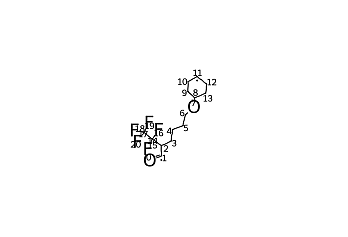 O=[C]C(CCCCOC1CC[CH]CC1)C(F)(F)C(F)(F)F